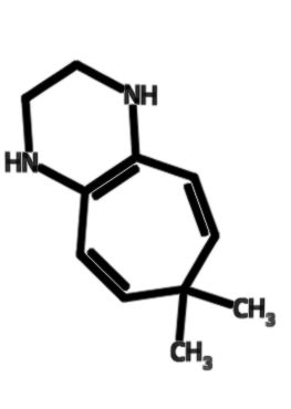 CC1(C)C=CC2=C(C=C1)NCCN2